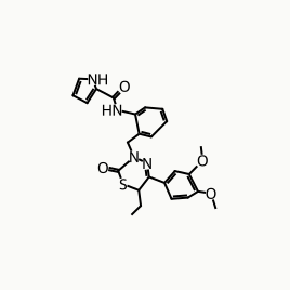 CCC1SC(=O)N(Cc2ccccc2NC(=O)c2ccc[nH]2)N=C1c1ccc(OC)c(OC)c1